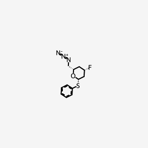 [N-]=[N+]=NC[C@@H]1C[C@H](F)C[C@H](Sc2ccccc2)O1